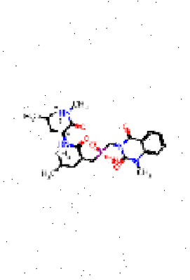 CNC(=O)[C@H](CC(C)C)NC(=O)C(CC(C)C)CP(=O)(O)Cn1c(=O)c2ccccc2n(C)c1=O